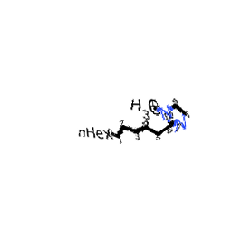 CCCCCCCCCCCC1=NCCN1C